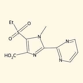 CCS(=O)(=O)c1c(C(=O)O)nc(-c2ncccn2)n1C